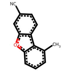 Cc1cccc2oc3cc(C#N)ccc3c12